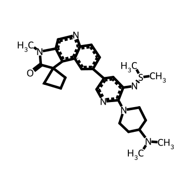 CN1C(=O)C2(CCC2)c2c1cnc1ccc(-c3cnc(N4CCC(N(C)C)CC4)c(N=S(C)C)c3)cc21